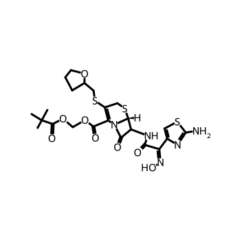 CC(C)(C)C(=O)OCOC(=O)C1=C(SCC2CCCO2)CS[C@@H]2C(NC(=O)/C(=N\O)c3csc(N)n3)C(=O)N12